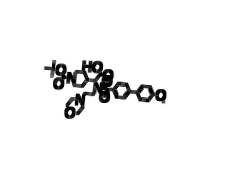 COc1ccc(-c2ccc(S(=O)(=O)N(CCN3CCOCC3)C(C(=O)O)C3CCN(C(=O)OC(C)(C)C)CC3)cc2)cc1